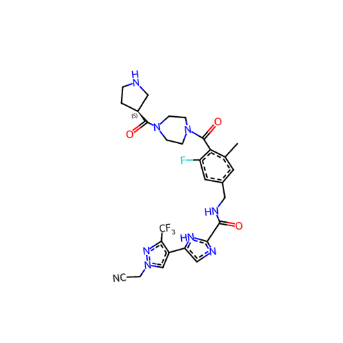 Cc1cc(CNC(=O)c2ncc(-c3cn(CC#N)nc3C(F)(F)F)[nH]2)cc(F)c1C(=O)N1CCN(C(=O)[C@H]2CCNC2)CC1